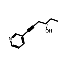 CC[C@H](O)CC#Cc1cccnc1